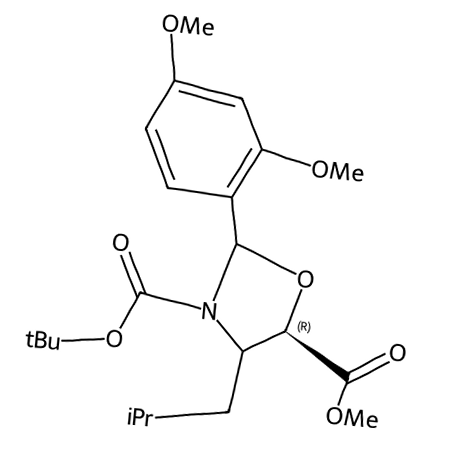 COC(=O)[C@@H]1OC(c2ccc(OC)cc2OC)N(C(=O)OC(C)(C)C)C1CC(C)C